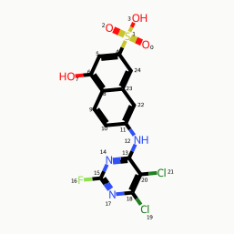 O=S(=O)(O)c1cc(O)c2ccc(Nc3nc(F)nc(Cl)c3Cl)cc2c1